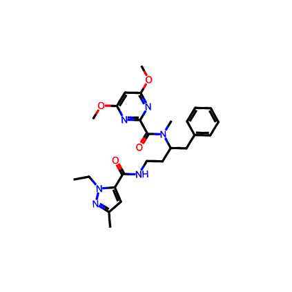 CCn1nc(C)cc1C(=O)NCCC(Cc1ccccc1)N(C)C(=O)c1nc(OC)cc(OC)n1